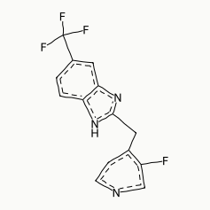 Fc1cnccc1Cc1nc2cc(C(F)(F)F)ccc2[nH]1